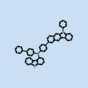 c1ccc(-c2ccc(N(c3ccc(-c4ccc5cc6c(cc5c4)c4ccccc4n6-c4ccccc4)cc3)c3cccc4sc5ccccc5c34)cc2)cc1